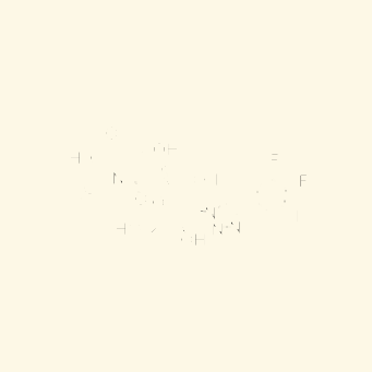 CCN(CC)C(=O)[C@@H](S[C@@H]1O[C@H](CO)[C@H](O)[C@H](n2cc(-c3cc(F)c(F)c(F)c3)nn2)[C@H]1O)C1(O)CCOCC1